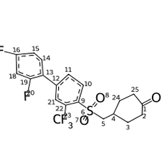 O=C1CCC(CS(=O)(=O)c2ccc(-c3ccc(F)cc3F)cc2C(F)(F)F)CC1